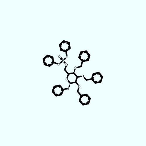 O=P(OCC1O[C@H](Sc2ccccc2)C(OCc2ccccc2)C(OCc2ccccc2)[C@@H]1OCc1ccccc1)(Oc1ccccc1)Oc1ccccc1